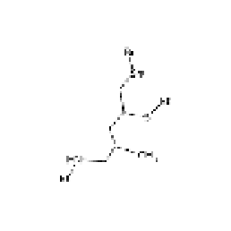 CCNCC(C)CC([CH2][Sn][Br])SCC